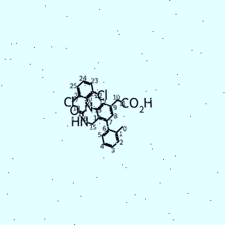 Cc1ccccc1-c1cc(CC(=O)O)cc2c1CNC(=O)N2c1c(Cl)cccc1Cl